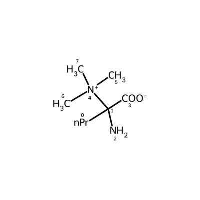 CCCC(N)(C(=O)[O-])[N+](C)(C)C